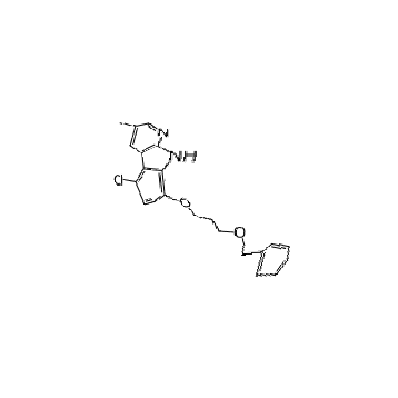 Cc1cnc2[nH]c3c(OCCCOCc4ccccc4)ccc(Cl)c3c2c1